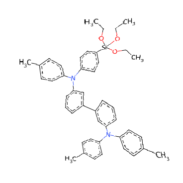 CCO[Si](OCC)(OCC)c1ccc(N(c2ccc(C)cc2)c2cccc(-c3cccc(N(c4ccc(C)cc4)c4ccc(C)cc4)c3)c2)cc1